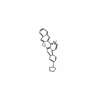 c1ccc2cc3c(cc2c1)Oc1cc2cc(C4CCCC4)ccc2c2ccnc-3c12